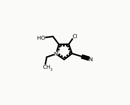 CCn1cc(C#N)c(Cl)c1CO